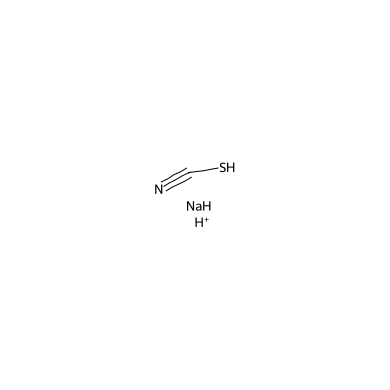 N#CS.[H+].[NaH]